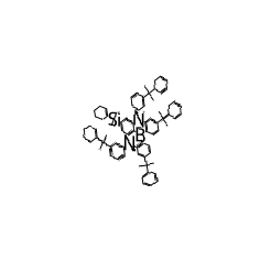 CC(C)(C1=CCCCC1)c1cccc(N2c3cc(C(C)(C)c4ccccc4)ccc3B3c4ccc(C(C)(C)C5C=CC=CC5)cc4N(C4C=C(C(C)(C)C5C=CC=CC5)C=CC4)c4cc([Si](C)(C)C5=CCCCC5)cc2c43)c1